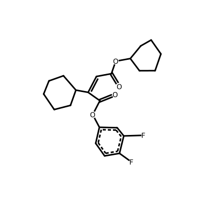 O=C(/C=C(\C(=O)Oc1ccc(F)c(F)c1)C1CCCCC1)OC1CCCCC1